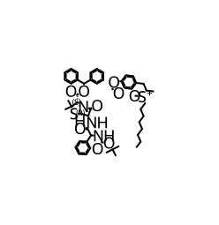 CC(C)(C)OC(=O)NC(C(=O)NC1C(=O)N2[C@@H]1SC(C)(C)[C@@H]2C(=O)OC(c1ccccc1)c1ccccc1)c1ccccc1.CCCCCCCC[S+]([O-])C(C)Cc1ccc2c(c1)OCO2